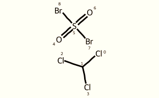 ClC(Cl)Cl.O=S(=O)(Br)Br